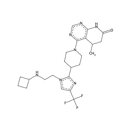 CC1CC(=O)Nc2ncnc(N3CCC(c4nc(C(F)(F)F)cn4CCNC4CCC4)CC3)c21